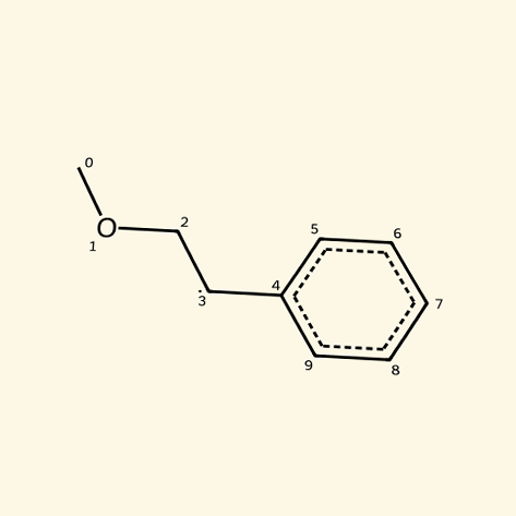 COC[CH]c1ccccc1